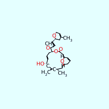 C=C1C[C@H](C)C[C@@H]2CC=C[C@@H](CC(=O)O[C@H]([C@H](/C=C/[C@@H]3CC(C)=CCO3)OC)C/C=C/[C@@H](O)C1)O2